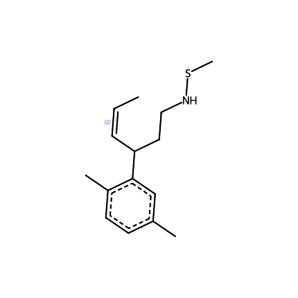 C/C=C\C(CCNSC)c1cc(C)ccc1C